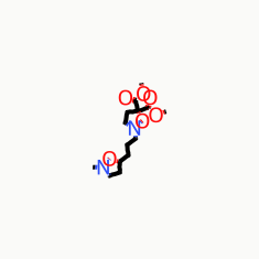 COC(=O)C1(C(=O)OC)CCN(CCCC2CCN(C)O2)O1